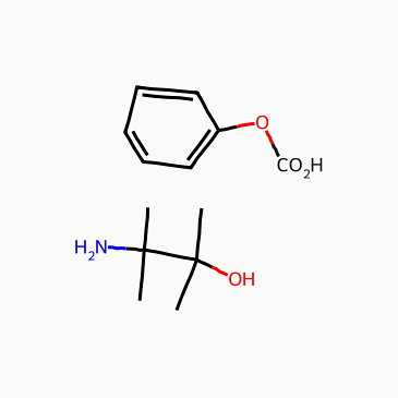 CC(C)(N)C(C)(C)O.O=C(O)Oc1ccccc1